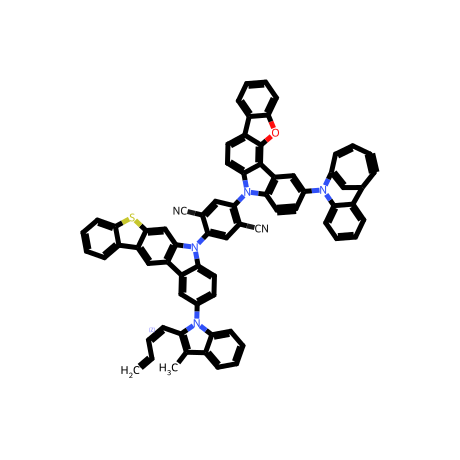 C=C/C=C\c1c(C)c2ccccc2n1-c1ccc2c(c1)c1cc3c(cc1n2-c1cc(C#N)c(-n2c4c#cc(N5C6=CC(C#CC=C6)c6ccccc65)cc4c4c5oc6ccccc6c5ccc42)cc1C#N)sc1ccccc13